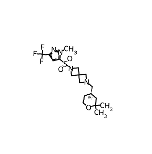 Cn1nc(C(F)(F)F)cc1S(=O)(=O)N1CC2(CN(C[C@@H]3CCOC(C)(C)C3)C2)C1